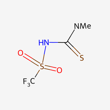 CNC(=S)NS(=O)(=O)C(F)(F)F